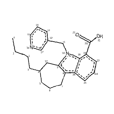 CCCCC1CCCc2c(n(Cc3cccnc3)c3c(C(=O)O)cccc23)C1